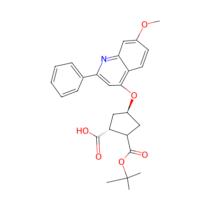 COc1ccc2c(O[C@H]3CC(C(=O)OC(C)(C)C)[C@H](C(=O)O)C3)cc(-c3ccccc3)nc2c1